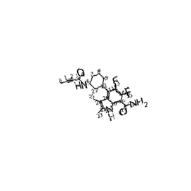 CC#CC(=O)N[C@@H]1CCC[C@@H](c2c(F)c(F)c(C(N)=O)c3[nH]c(C)c(C)c23)C1